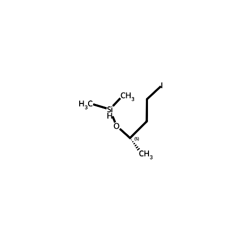 C[C@@H](CCI)O[SiH](C)C